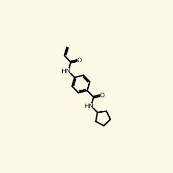 C=CC(=O)Nc1ccc(C(=O)NC2CCCC2)cc1